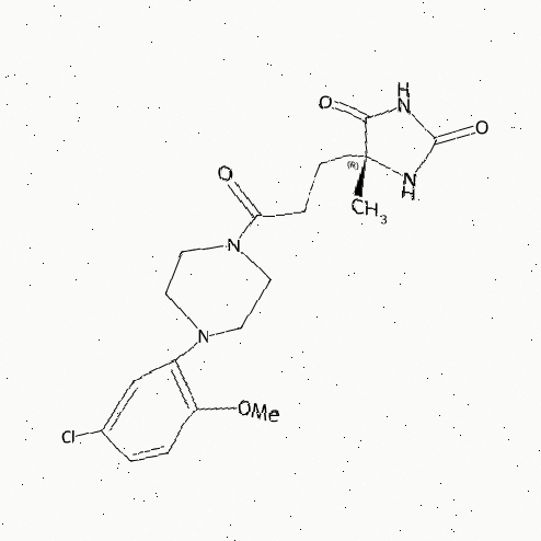 COc1ccc(Cl)cc1N1CCN(C(=O)CC[C@@]2(C)NC(=O)NC2=O)CC1